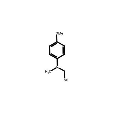 COc1ccc(N(C)CC(C)=O)cc1